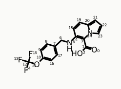 O=C(O)c1c(NCc2ccc(OC(F)(F)F)cc2)ccc2cccn12